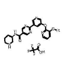 CCOc1cccnc1Oc1cncc(-c2ncc(C(=O)N[C@@H]3CCCNC3)cn2)c1.O=C(O)C(F)(F)F